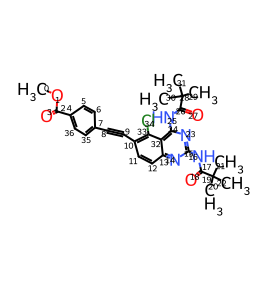 COC(=O)c1ccc(C#Cc2ccc3nc(NC(=O)C(C)(C)C)nc(NC(=O)C(C)(C)C)c3c2Cl)cc1